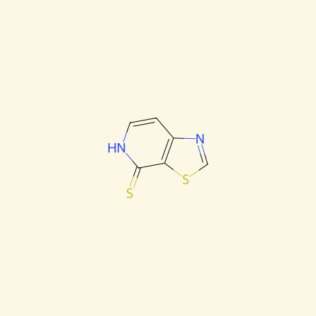 S=c1[nH]ccc2ncsc12